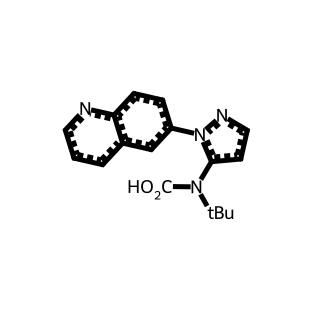 CC(C)(C)N(C(=O)O)c1ccnn1-c1ccc2ncccc2c1